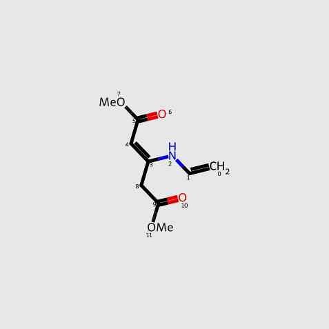 C=CN/C(=C\C(=O)OC)CC(=O)OC